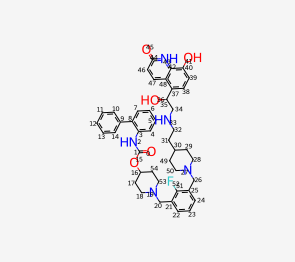 O=C(Nc1ccccc1-c1ccccc1)OC1CCN(Cc2cccc(CN3CCC(CCNC[C@@H](O)c4ccc(O)c5[nH]c(=O)ccc45)CC3)c2F)CC1